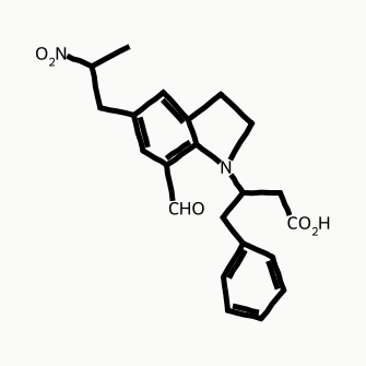 CC(Cc1cc(C=O)c2c(c1)CCN2C(CC(=O)O)Cc1ccccc1)[N+](=O)[O-]